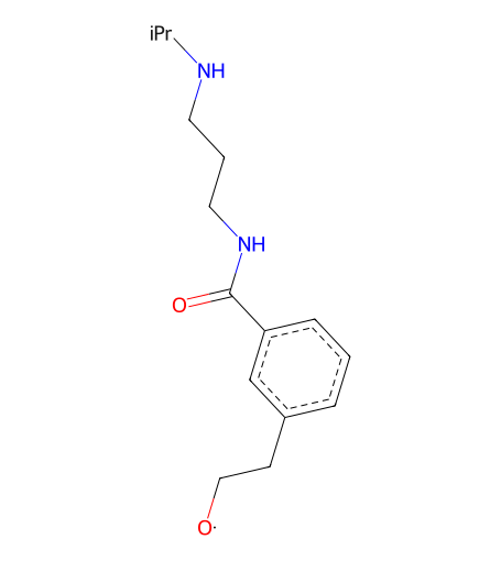 CC(C)NCCCNC(=O)c1cccc(CC[O])c1